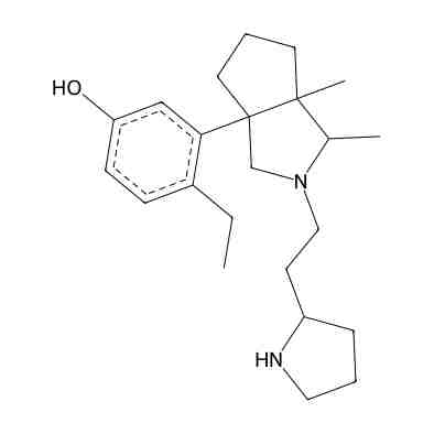 CCc1ccc(O)cc1C12CCCC1(C)C(C)N(CCC1CCCN1)C2